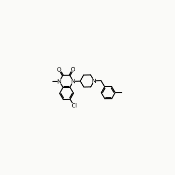 Cc1cccc(CN2CCC(n3c(=O)c(=O)n(C)c4ccc(Cl)cc43)CC2)c1